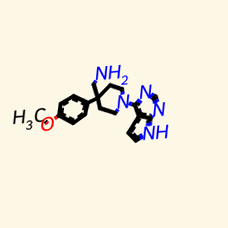 COc1ccc(C2(CN)CCN(c3ncnc4[nH]ccc34)CC2)cc1